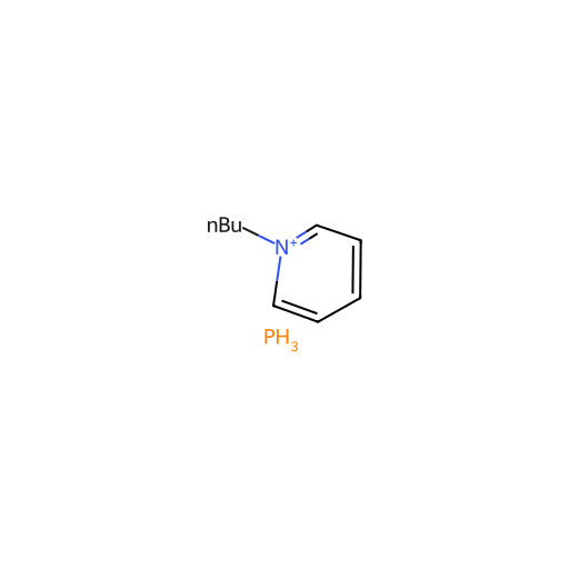 CCCC[n+]1ccccc1.P